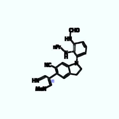 CCCNc1c(NC=O)cccc1N1CCc2cc(/C(C=N)=C/NC)c(C#N)cc21